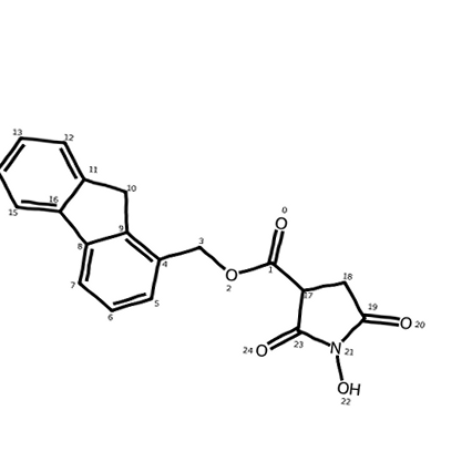 O=C(OCc1cccc2c1Cc1ccccc1-2)C1CC(=O)N(O)C1=O